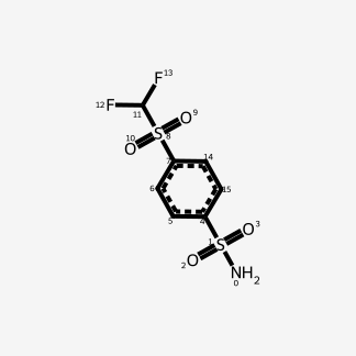 NS(=O)(=O)c1ccc(S(=O)(=O)C(F)F)cc1